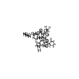 Cc1ccccc1S(=O)(=O)c1nc2[nH]ccc2c2c1nc(N(C(=O)O)C(=O)OC(C)(C)C)n2N1CCC(CN=[N+]=[N-])CC1